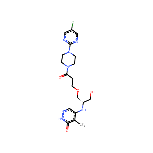 O=C(CCOC[C@H](CO)Nc1cn[nH]c(=O)c1C(F)(F)F)N1CCN(c2ncc(Cl)cn2)CC1